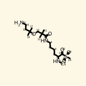 CCNC(CCCCNC(=O)C(C)(C)COC(C)(C)CCN)C(=O)S(C)(=O)=O